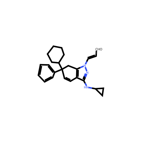 O=CC=Cn1nc(NC2CC2)c2c1CC(c1ccccc1)(C1CCCCC1)C=C2